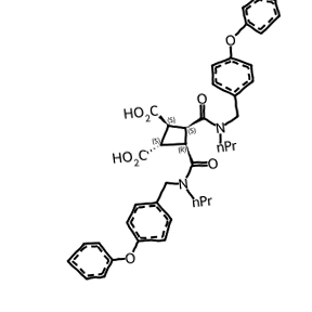 CCCN(Cc1ccc(Oc2ccccc2)cc1)C(=O)[C@@H]1[C@H](C(=O)O)[C@@H](C(=O)O)[C@@H]1C(=O)N(CCC)Cc1ccc(Oc2ccccc2)cc1